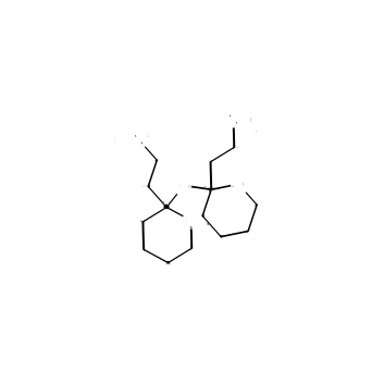 O=[N+]([O-])CCC1(OC2(CC[N+](=O)[O-])CCCCO2)CCCCO1